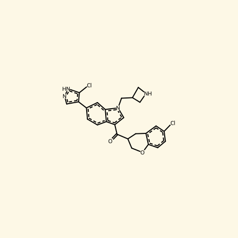 O=C(c1cn(CC2CNC2)c2cc(-c3cn[nH]c3Cl)ccc12)C1COc2ccc(Cl)cc2C1